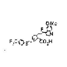 COc1ccc2nccc(C(F)CC[C@@H]3CCN(CCSc4ccc(C(F)(F)F)cc4)C[C@@H]3CC(=O)O)c2c1